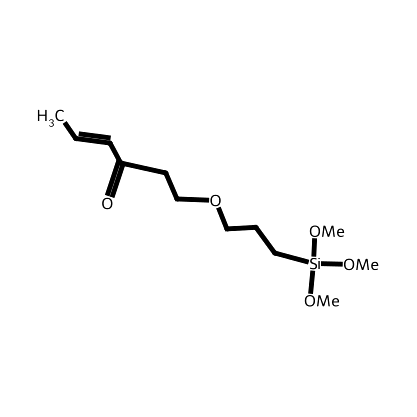 CC=CC(=O)CCOCCC[Si](OC)(OC)OC